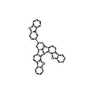 c1ccc2c(c1)oc1ccc(-c3cc4c5ccc6c7ccccc7oc6c5n5c4c(c3)c3ccc4c6ccccc6oc4c35)cc12